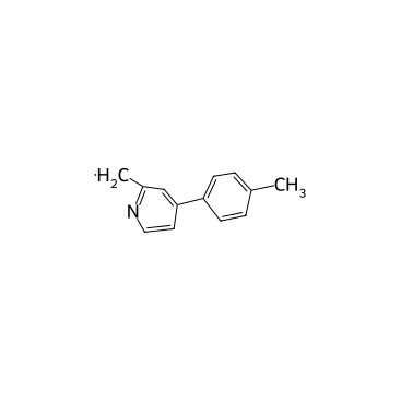 [CH2]c1cc(-c2ccc(C)cc2)ccn1